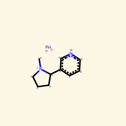 CN1CCCC1c1cccnc1.P